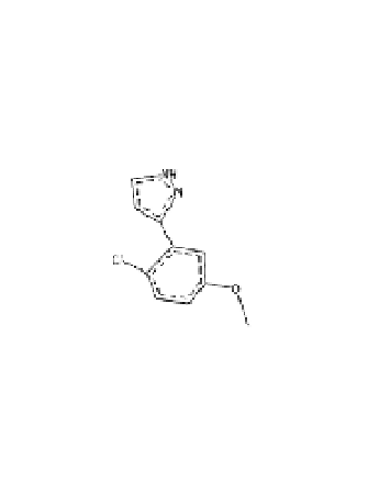 COc1ccc(Cl)c(-c2cc[nH]n2)c1